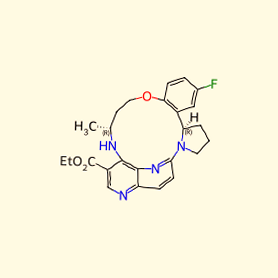 CCOC(=O)c1cnc2ccc3nc2c1N[C@H](C)CCOc1ccc(F)cc1[C@H]1CCCN31